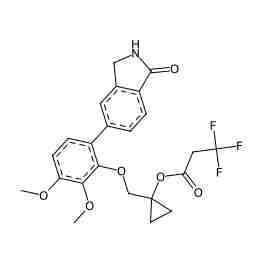 COc1ccc(-c2ccc3c(c2)CNC3=O)c(OCC2(OC(=O)CC(F)(F)F)CC2)c1OC